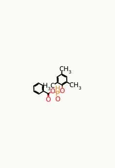 Cc1cc(C)c(O[PH](=O)OC(=O)c2ccccc2)c(C)c1